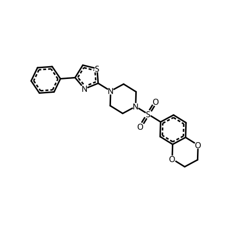 O=S(=O)(c1ccc2c(c1)OCCO2)N1CCN(c2nc(-c3ccccc3)cs2)CC1